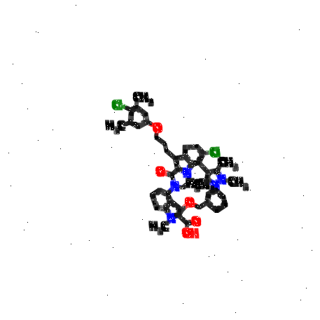 Cc1cc(OCCCc2c3n(c4c(-c5c(C)nn(C)c5C)c(Cl)ccc24)[C@H](C)CN(c2cccc4c2c(OCc2ccccc2)c(C(=O)O)n4C)C3=O)cc(C)c1Cl